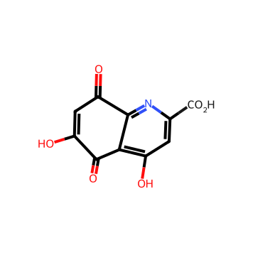 O=C(O)c1cc(O)c2c(n1)C(=O)C=C(O)C2=O